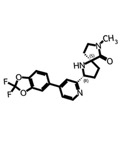 CN1CC[C@@]2(CC[C@H](c3cc(-c4ccc5c(c4)OC(F)(F)O5)ccn3)N2)C1=O